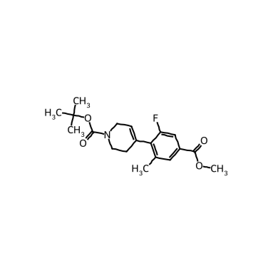 COC(=O)c1cc(C)c(C2=CCN(C(=O)OC(C)(C)C)CC2)c(F)c1